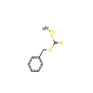 CCC[SH2]C(=S)SCc1ccccc1